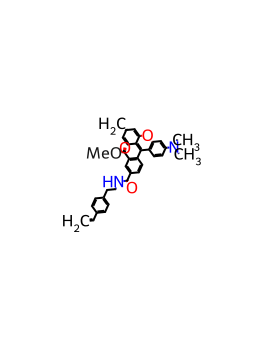 C=Cc1ccc(CCNC(=O)c2ccc(C3=c4ccc(=C)cc4Oc4cc(N(C)C)ccc43)c(C(=O)OC)c2)cc1